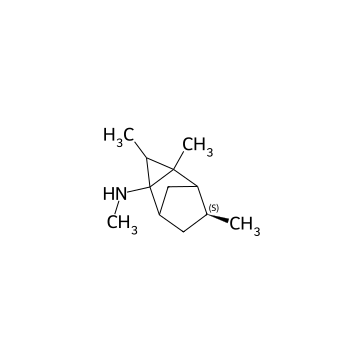 CNC12C3CC([C@@H](C)C3)C1(C)C2C